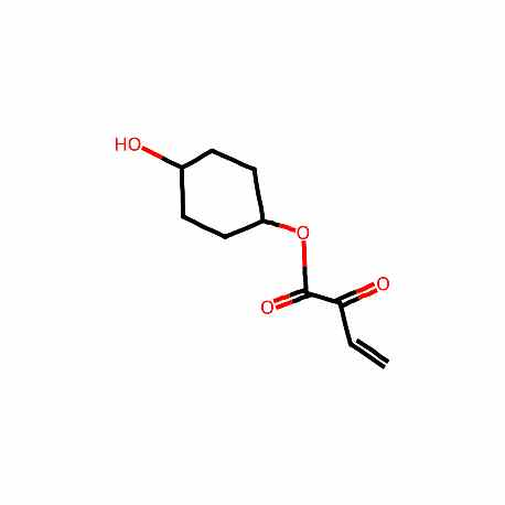 C=CC(=O)C(=O)OC1CCC(O)CC1